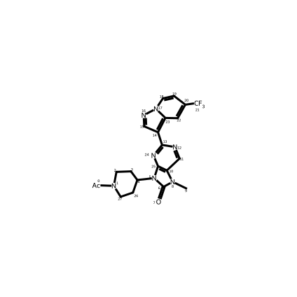 CC(=O)N1CCC(n2c(=O)n(C)c3cnc(-c4cnn5ccc(C(F)(F)F)cc45)nc32)CC1